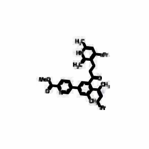 C=C1NC(C)=CC(CCC)=C1CCC(=O)c1cc(-c2ccc(C(=O)OC)nc2)cc(C)c1/C(C)=C\CC(C)C